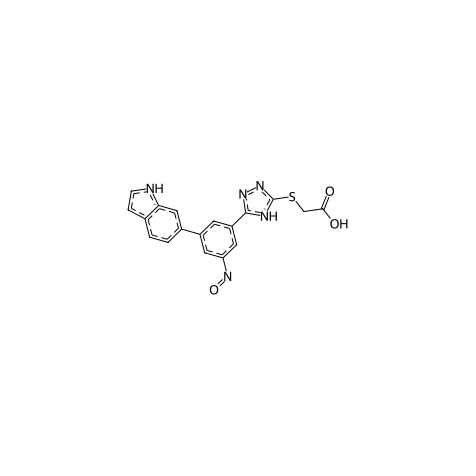 O=Nc1cc(-c2ccc3cc[nH]c3c2)cc(-c2nnc(SCC(=O)O)[nH]2)c1